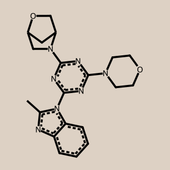 Cc1nc2ccccc2n1-c1nc(N2CCOCC2)nc(N2CC3CC2CO3)n1